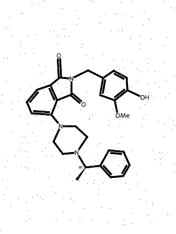 COc1cc(CN2C(=O)c3cccc(N4CCN([C@H](C)c5ccccc5)CC4)c3C2=O)ccc1O